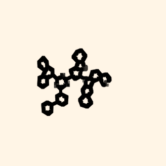 c1ccc(-c2cccc(-c3nc(-c4cc(-n5c6cc7ccccc7cc6c6c7ccccc7ccc65)c5oc6ccccc6c5c4)nc(-c4cc5ccccc5c5ccccc45)n3)c2)cc1